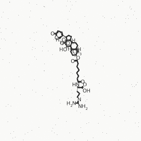 C[C@]12CC[C@H](OC(=O)CCCCCCC(=O)N[C@@H](CCCN=C(N)N)C(=O)O)C[C@H]1CC[C@@H]1[C@@H]2[C@H](O)C(=O)[C@]2(C)[C@@H](c3ccc(=O)oc3)CC[C@]12O